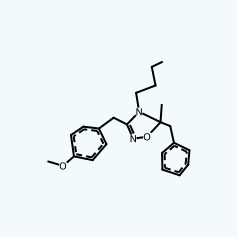 CCCCN1C(Cc2ccc(OC)cc2)=NOC1(C)Cc1ccccc1